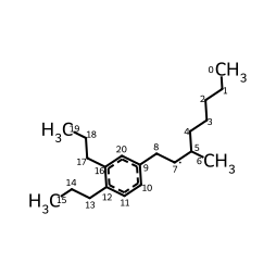 CCCCCC(C)[CH]Cc1ccc(CCC)c(CCC)c1